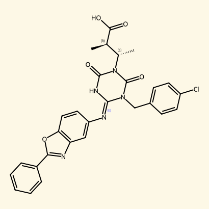 C[C@@H](C(=O)O)[C@H](C)n1c(=O)[nH]/c(=N\c2ccc3oc(-c4ccccc4)nc3c2)n(Cc2ccc(Cl)cc2)c1=O